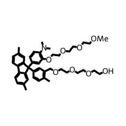 COCCOCCOCCOc1cc(C2(c3ccc(C)c(COCCOCCOCCO)c3)c3cc(C)ccc3-c3ccc(C)cc32)ccc1N(C)C